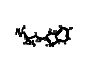 C=C(C)CSc1nc2ccccc2s1